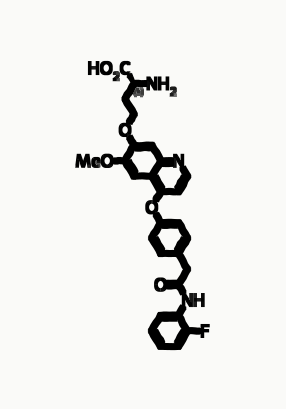 COc1cc2c(Oc3ccc(CC(=O)Nc4ccccc4F)cc3)ccnc2cc1OCC[C@H](N)C(=O)O